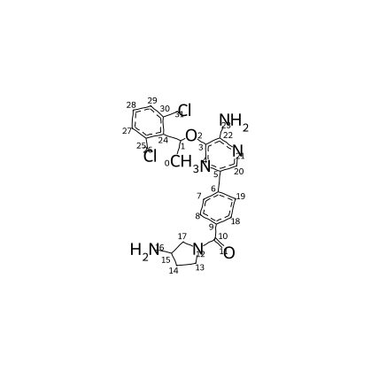 CC(Oc1nc(-c2ccc(C(=O)N3CCC(N)C3)cc2)cnc1N)c1c(Cl)cccc1Cl